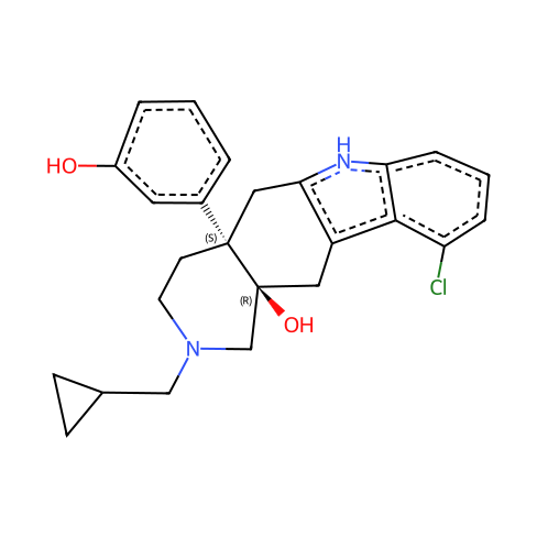 Oc1cccc([C@@]23CCN(CC4CC4)C[C@@]2(O)Cc2c([nH]c4cccc(Cl)c24)C3)c1